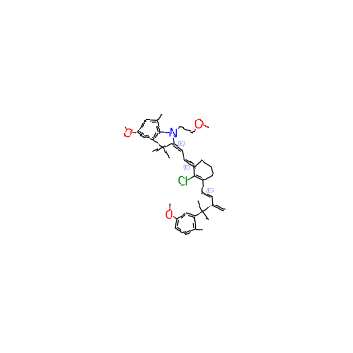 C=C(/C=C/C1=C(Cl)C(=C/C=C2/N(CCOC)c3c(C)cc(OC)cc3C2(C)C)/CCC1)C(C)(C)c1cc(OC)ccc1C